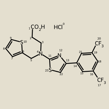 Cl.O=C(O)CCN(Cc1cccs1)c1nc(-c2cc(C(F)(F)F)cc(C(F)(F)F)c2)cs1